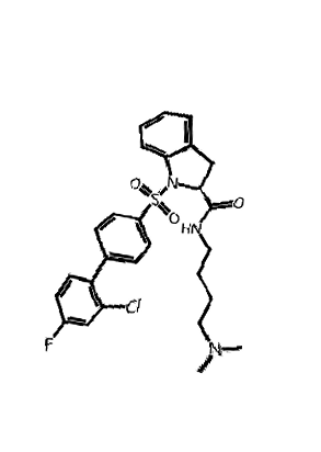 CN(C)CCCCNC(=O)[C@@H]1Cc2ccccc2N1S(=O)(=O)c1ccc(-c2ccc(F)cc2Cl)cc1